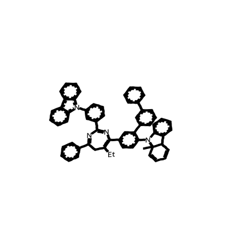 CCC1=C(c2ccc(N3c4ccccc4C4C=CC=CC43C)c(-c3cccc(-c4ccccc4)c3)c2)N=C(c2cccc(-n3c4ccccc4c4ccccc43)c2)N=C(c2ccccc2)C1